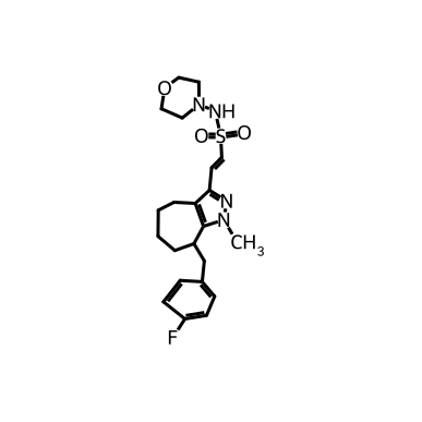 Cn1nc(/C=C/S(=O)(=O)NN2CCOCC2)c2c1C(Cc1ccc(F)cc1)CCCC2